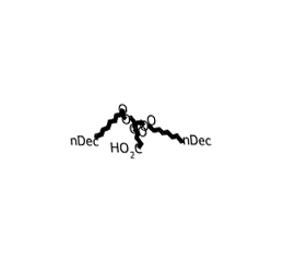 CCCCCCCCCCCCCCCCCC(=O)OCC(COC(=O)CCCCCCCCCCCCCCCCC)OC(=O)CCC(=O)O